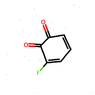 O=C1C=CC=C(F)C1=O